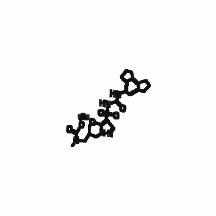 CN(CC1COc2c(S(=O)(=O)NC(=O)Nc3cc4c(c5c3CCC5)CCC4)cnn2C1)C(=O)OC(C)(C)C